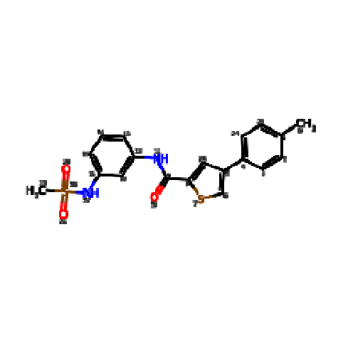 Cc1ccc(-c2csc(C(=O)Nc3cccc(NS(C)(=O)=O)c3)c2)cc1